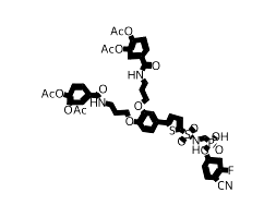 CC(=O)Oc1ccc(C(=O)NCCCOc2ccc(-c3ccc(S(=O)(=O)NCP(=O)(O)Oc4ccc(C#N)c(F)c4)s3)cc2OCCCNC(=O)c2ccc(OC(C)=O)c(OC(C)=O)c2)cc1OC(C)=O